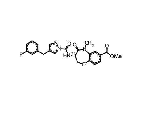 COC(=O)c1ccc2c(c1)N(C)C(=O)[C@@H](NC(=O)n1cc(Cc3cccc(F)c3)cn1)CO2